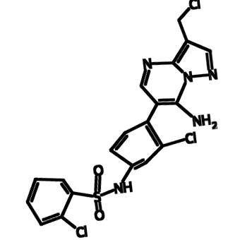 Nc1c(-c2ccc(NS(=O)(=O)c3ccccc3Cl)cc2Cl)cnc2c(CCl)cnn12